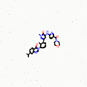 C=C(C)c1ccc2c(=O)n(-c3cccc(-c4cc(Nc5ccc(C(=O)N6CCOCC6)cn5)c(=O)n(C)n4)c3C)cnc2c1